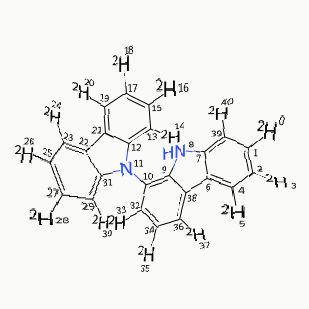 [2H]c1c([2H])c([2H])c2c([nH]c3c(-n4c5c([2H])c([2H])c([2H])c([2H])c5c5c([2H])c([2H])c([2H])c([2H])c54)c([2H])c([2H])c([2H])c32)c1[2H]